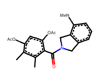 CNc1cccc2c1CN(C(=O)c1c(OC(C)=O)cc(OC(C)=O)c(C)c1C)C2